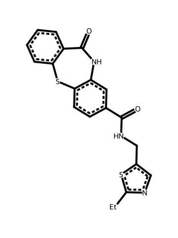 CCc1ncc(CNC(=O)c2ccc3c(c2)NC(=O)c2ccccc2S3)s1